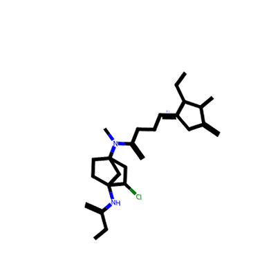 C=C(CC)NC12CCC(N(C)C(=C)CC/C=C3\CC(=C)C(C)C3CC)(CC1Cl)C2